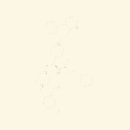 CCSc1cc(F)ccc1CN1CCN(C(=O)[C@H](NC(=O)OCc2ccccc2)C2CCN(CCc3ncccc3-c3ccccc3)CC2)CC1